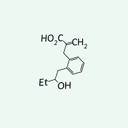 C=C(Cc1ccccc1CC(O)CC)C(=O)O